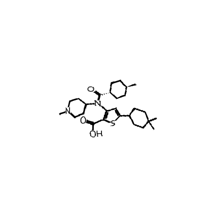 CN1CCC(N(c2cc(C3CCC(C)(C)CC3)sc2C(=O)O)C(=O)[C@H]2CC[C@H](C)CC2)CC1